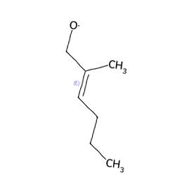 CCC/C=C(\C)C[O]